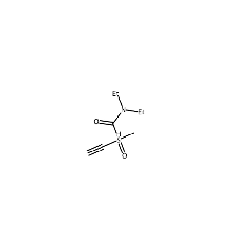 C#C[SH](C)(=O)C(=O)N(CC)CC